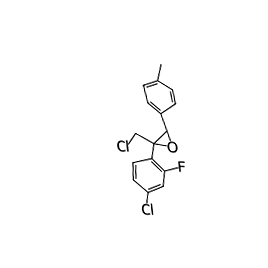 Cc1ccc(C2OC2(CCl)c2ccc(Cl)cc2F)cc1